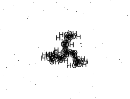 CC(=O)NC1[C@H](OCCOP(=O)(O)OCOCOC2C(OCOP(=O)(O)OCCO[C@@H]3OC(CO)[C@H](O)[C@H](O)C3C)C2(COCOP(=O)(O)OCCO[C@@H]2OC(CO)[C@H](O)[C@H](O)C2C)C(C)C)OC(CO)[C@H](O)[C@@H]1O